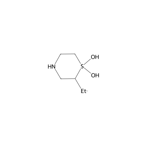 C[CH]C1CNCCS1(O)O